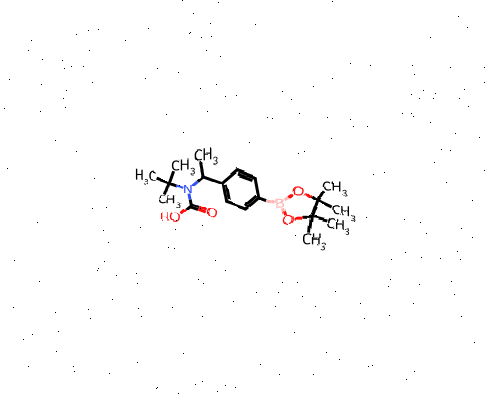 CC(c1ccc(B2OC(C)(C)C(C)(C)O2)cc1)N(C(=O)O)C(C)(C)C